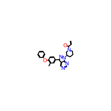 C=CC(=O)N1CCC[C@@H](n2nc(-c3ccc(Oc4ccccc4)c(C)c3)c3cncnc32)C1